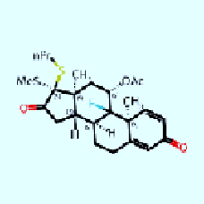 CCCS[C@]1(SC)C(=O)C[C@H]2[C@@H]3CCC4=CC(=O)C=C[C@]4(C)C3(F)[C@@H](OC(C)=O)C[C@@]21C